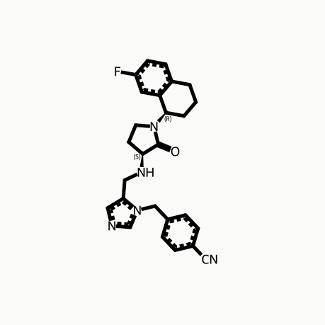 N#Cc1ccc(Cn2cncc2CN[C@H]2CCN([C@@H]3CCCc4ccc(F)cc43)C2=O)cc1